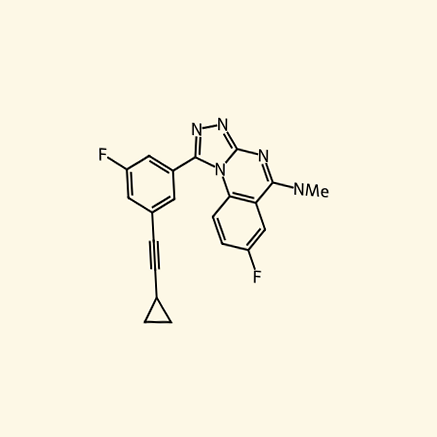 CNc1nc2nnc(-c3cc(F)cc(C#CC4CC4)c3)n2c2ccc(F)cc12